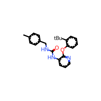 Cc1ccc(CNC(=O)Nc2cccnc2Oc2ccccc2C(C)(C)C)cc1